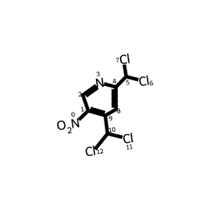 O=[N+]([O-])c1cnc(C(Cl)Cl)cc1C(Cl)Cl